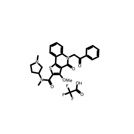 COc1c(C(=O)N(C)C2CCN(C)C2)sc2c1c(=O)n(CC(=O)c1ccccc1)c1ccccc21.O=C(O)C(F)(F)F